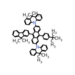 CC(C)(C)c1ccc(-c2c3ccc(N4c5ccccc5C(C)(C)c5ccccc54)cc3c(-c3ccc4c(c3)C(C)(C)c3ccccc3-4)c3ccc(N4c5ccccc5C(C)(C)c5ccccc54)cc23)cc1